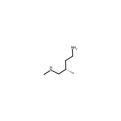 CNC[C@@H](C)CCN